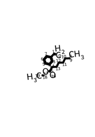 C=Cc1ccccc1.CCCCCCCC(=O)OCC